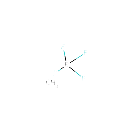 C.F[B-](F)(F)F